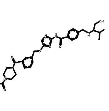 CC(=O)N1CCN(C(=O)c2cccc(CSc3cnc(NC(=O)c4ccc(CNC(CO)C(C)C)cc4)s3)c2)CC1